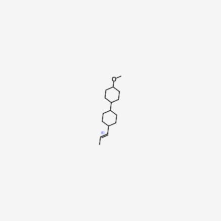 C/C=C/C1CCC(C2CCC(OC)CC2)CC1